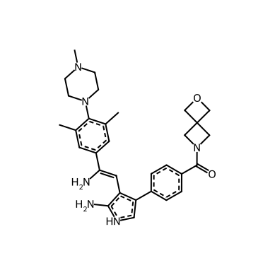 Cc1cc(/C(N)=C/c2c(-c3ccc(C(=O)N4CC5(COC5)C4)cc3)c[nH]c2N)cc(C)c1N1CCN(C)CC1